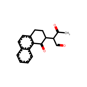 CC(=O)C(C=O)C1CCc2ccc3ccccc3c2C1=O